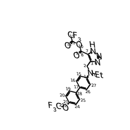 CCN(Cc1nn[nH]c1C(=O)OC(=O)C(F)(F)F)c1ccc(-c2ccc(OC(F)(F)F)cc2)cc1